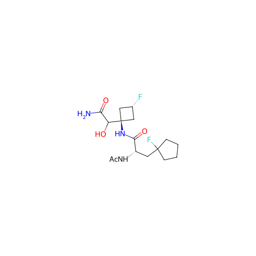 CC(=O)N[C@@H](CC1(F)CCCC1)C(=O)N[C@]1(C(O)C(N)=O)C[C@@H](F)C1